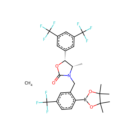 C.C[C@H]1[C@@H](c2cc(C(F)(F)F)cc(C(F)(F)F)c2)OC(=O)N1Cc1cc(C(F)(F)F)ccc1B1OC(C)(C)C(C)(C)O1